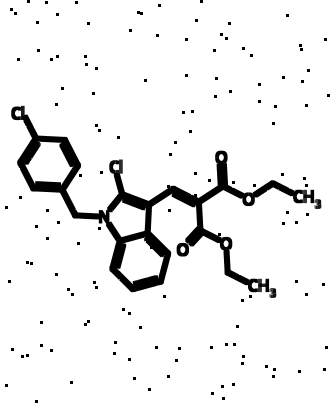 CCOC(=O)C(=Cc1c(Cl)n(Cc2ccc(Cl)cc2)c2ccccc12)C(=O)OCC